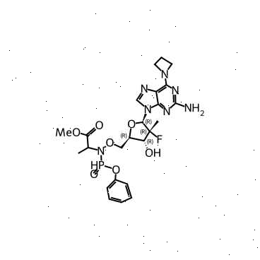 COC(=O)C(C)N(OC[C@H]1O[C@@H](n2cnc3c(N4CCC4)nc(N)nc32)[C@](C)(F)[C@@H]1O)[PH](=O)Oc1ccccc1